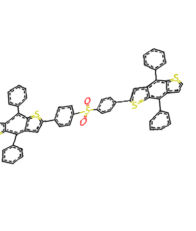 O=S(=O)(c1ccc(-c2cc3c(-c4ccccc4)c4sccc4c(-c4ccccc4)c3s2)cc1)c1ccc(-c2cc3c(-c4ccccc4)c4sccc4c(-c4ccccc4)c3s2)cc1